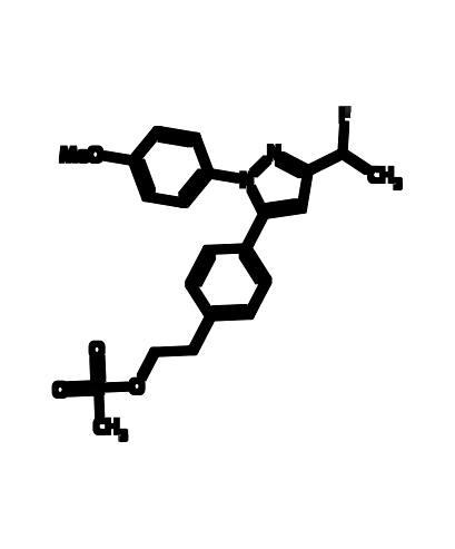 COc1ccc(-n2nc(C(C)F)cc2-c2ccc(CCOS(C)(=O)=O)cc2)cc1